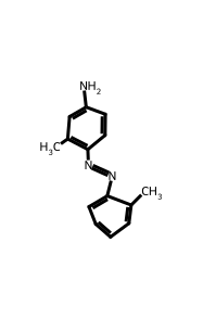 Cc1ccccc1/N=N/c1ccc(N)cc1C